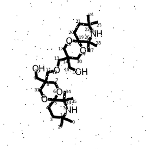 CC1(C)CCC2(OCC(CO)(COCC3(CO)COC4(CCC(C)(C)NC4(C)C)OC3)CO2)C(C)(C)N1